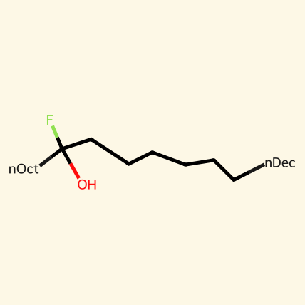 CCCCCCCCCCCCCCCCC(O)(F)CCCCCCCC